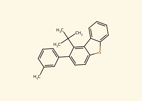 Cc1cccc(-c2ccc3sc4ccccc4c3c2C(C)(C)C)c1